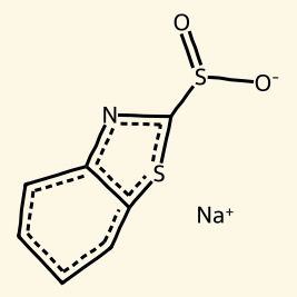 O=S([O-])c1nc2ccccc2s1.[Na+]